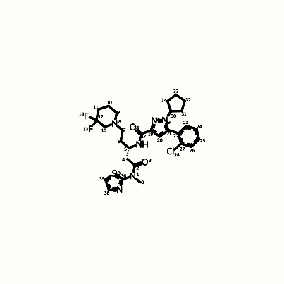 CN(C(=O)C[C@H](CCN1CCCC(F)(F)C1)NC(=O)c1cc(-c2ccccc2Cl)n(C2CCCC2)n1)c1nccs1